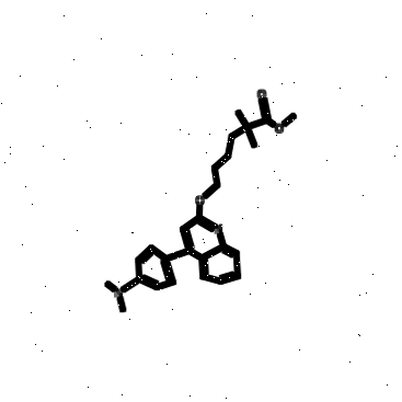 COC(=O)C(C)(C)CCCCOc1cc(-c2ccc(N(C)C)cc2)c2ccccc2n1